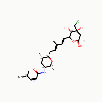 CC(=O)O[C@@H](C)/C=C\C(=O)N[C@@H]1C[C@H](C)[C@H](C/C=C(C)/C=C/C2O[C@](C)(O)C[C@@](O)(CCl)[C@@H]2O)O[C@@H]1C